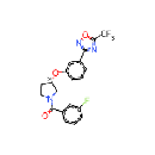 O=C(c1cccc(F)c1)N1CC[C@H](Oc2cccc(-c3noc(C(F)(F)F)n3)c2)C1